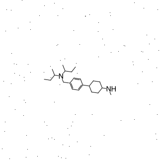 CCC(C)N(Cc1ccc(C2CCC(NC)CC2)cc1)C(C)CC